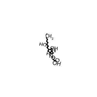 CCCCCC(O)C=CC1C[C@@H]2C(=NOCC(=O)O)C[C@H]2C1O